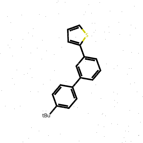 CC(C)(C)c1ccc(-c2cccc(-c3cccs3)c2)cc1